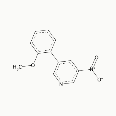 COc1ccccc1-c1cncc([N+](=O)[O-])c1